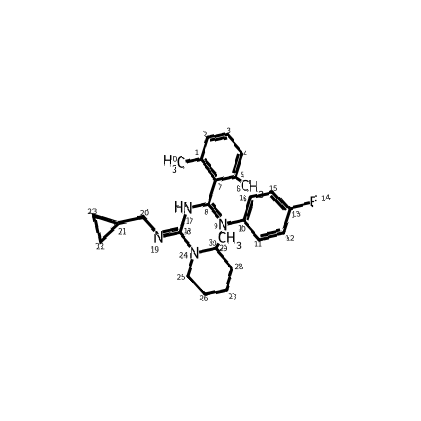 Cc1cccc(C)c1/C(=N\c1ccc(F)cc1)N/C(=N\CC1CC1)N1CCCCC1C